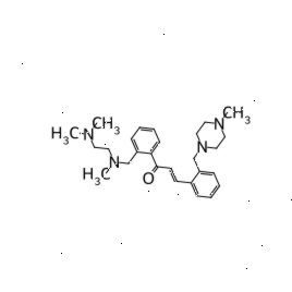 CN(C)CCN(C)Cc1ccccc1C(=O)C=Cc1ccccc1CN1CCN(C)CC1